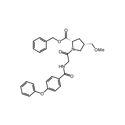 COC[C@H]1C[C@@H](C(=O)OCc2ccccc2)N(C(=O)CNC(=O)c2ccc(Oc3ccccc3)cc2)C1